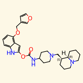 O=C(NC1CCN(C[C@@H]2CCCN3CCCC[C@H]23)CC1)Oc1cc2c(OCc3ccoc3)cccc2[nH]1